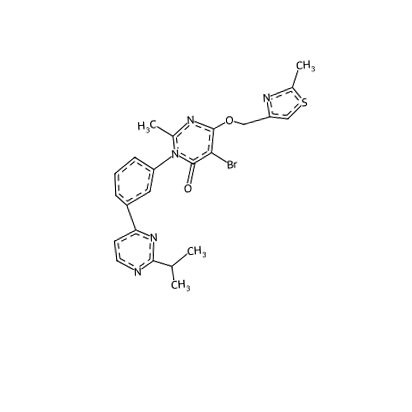 Cc1nc(COc2nc(C)n(-c3cccc(-c4ccnc(C(C)C)n4)c3)c(=O)c2Br)cs1